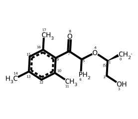 [CH2][C@@H](CO)OC(P)C(=O)c1c(C)cc(C)cc1C